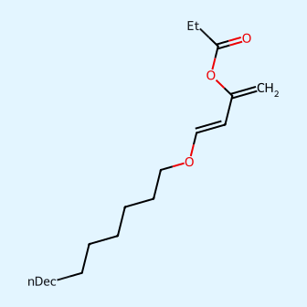 C=C(/C=C/OCCCCCCCCCCCCCCCC)OC(=O)CC